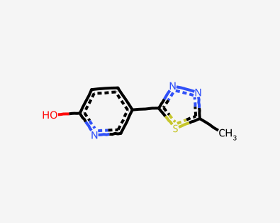 Cc1nnc(-c2ccc(O)nc2)s1